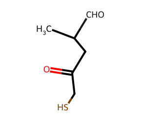 CC(C=O)CC(=O)CS